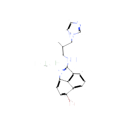 CC(CNC1=Nc2ccc(Br)c3cccc1c23)Cn1ccnc1.Cl.Cl